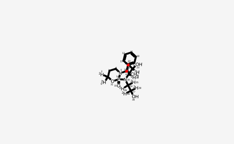 [2H]C1([2H])CCN(C(C)c2ccccc2)P(=O)(N(C([2H])([2H])C([2H])([2H])O)C([2H])([2H])C([2H])([2H])O)O1